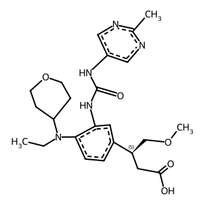 CCN(c1ccc([C@@H](COC)CC(=O)O)cc1NC(=O)Nc1cnc(C)nc1)C1CCOCC1